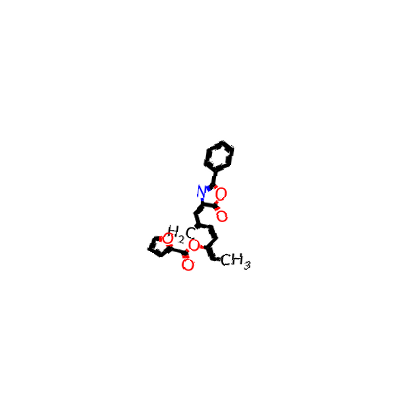 C=C(/C=C\C(=C/C)OC(=O)c1ccco1)/C=C1/N=C(c2ccccc2)OC1=O